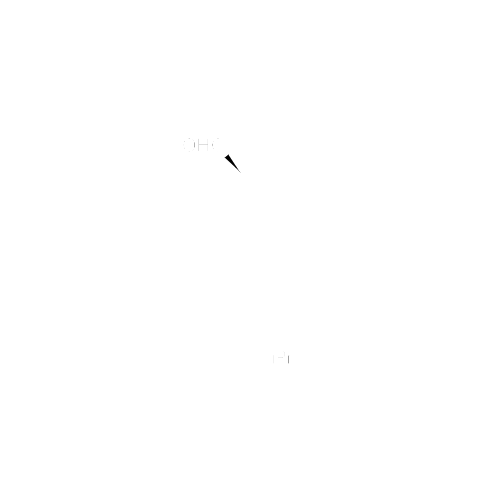 CC(C)CC1=CC[C@@H](C=O)CC1